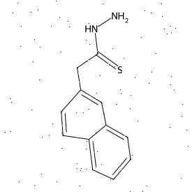 NNC(=S)Cc1ccc2ccccc2c1